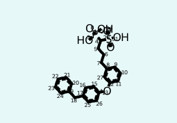 O=P(O)(O)C(CCCc1cccc(Oc2ccc(Cc3ccccc3)cc2)c1)S(=O)(=O)O